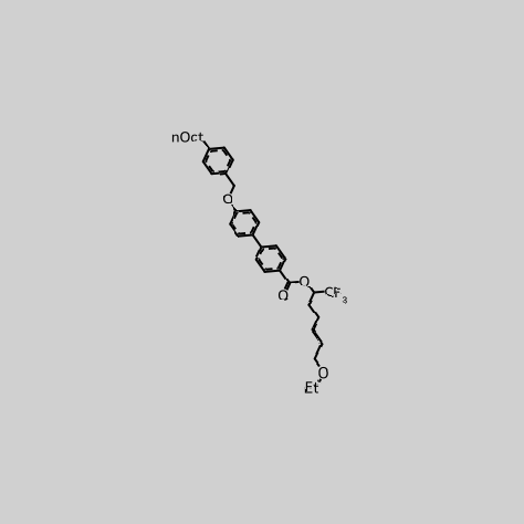 CCCCCCCCc1ccc(COc2ccc(-c3ccc(C(=O)OC(CCCCCOCC)C(F)(F)F)cc3)cc2)cc1